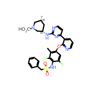 Cc1c(Oc2ncccc2-c2ccnc(N[C@H]3C[C@@H](C)CN(C(=O)O)C3)n2)cc(F)c(NS(=O)(=O)Cc2ccccc2)c1F